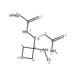 CCCCCCCC(=O)N[C@H](CC(N)=O)C1(NCC)COC1